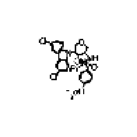 CCCN=S(=O)(N[C@@H]1COC[C@H](n2c3ccc(Cl)cc3c3cc(Cl)ccc32)[C@H]1O)c1ccc(OC(F)(F)F)cc1